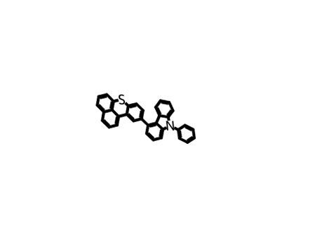 c1ccc(-n2c3ccccc3c3c(-c4ccc5c(c4)-c4cccc6cccc(c46)S5)cccc32)cc1